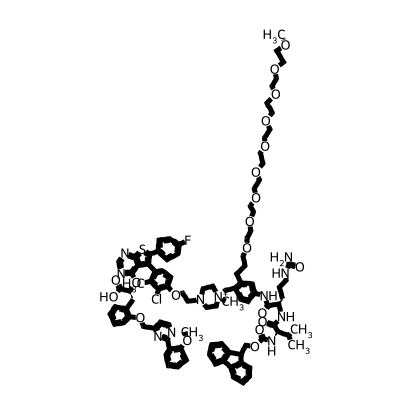 COCCOCCOCCOCCOCCOCCOCCOCCOCCCc1cc(NC(=O)[C@H](CCCNC(N)=O)NC(=O)[C@@H](NC(=O)OCC2c3ccccc3-c3ccccc32)C(C)C)ccc1C[N+]1(C)CCN(CCOc2ccc(-c3c(-c4ccc(F)cc4)sc4ncnc(O[C@H](Cc5ccccc5OCc5ccnc(-c6ccccc6OC)n5)C(=O)O)c34)c(C)c2Cl)CC1